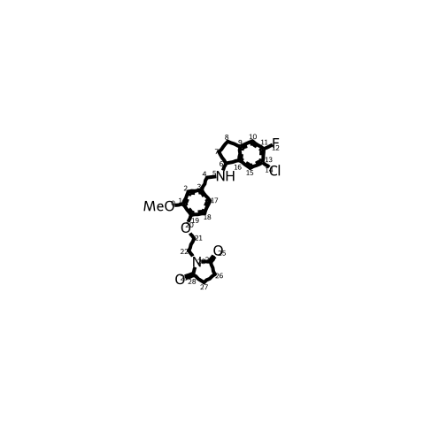 COc1cc(CNC2CCc3cc(F)c(Cl)cc32)ccc1OCCN1C(=O)CCC1=O